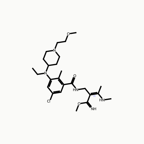 CCN(c1cc(Cl)cc(C(=O)NC/C(C(=N)OC)=C(\C)NC)c1C)C1CCN(CCOC)CC1